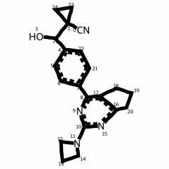 N#CC1(C(O)c2ccc(-c3nc(N4CCC4)nc4c3CCC4)cc2)CC1